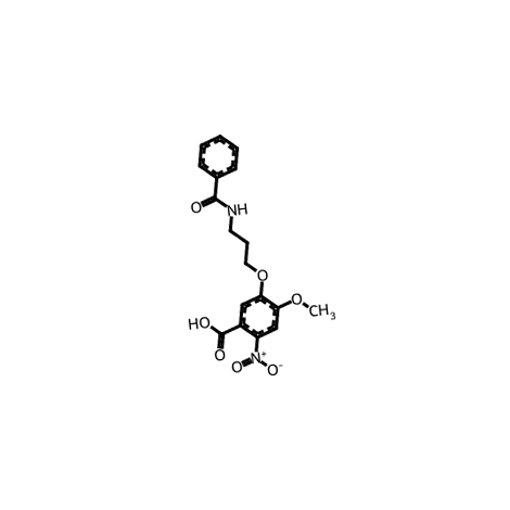 COc1cc([N+](=O)[O-])c(C(=O)O)cc1OCCCNC(=O)c1ccccc1